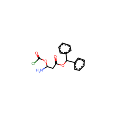 NC(CC(=O)OC(c1ccccc1)c1ccccc1)OC(=O)Cl